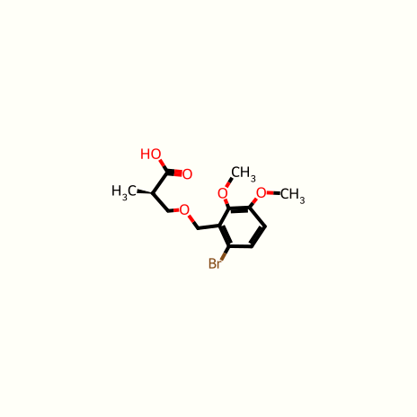 COc1ccc(Br)c(COC[C@@H](C)C(=O)O)c1OC